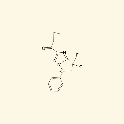 O=C(c1nc2n(n1)[C@@H](c1ccccc1)CC2(F)F)C1CC1